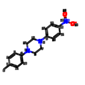 Cc1ccc(N2CCN(c3ccc([N+](=O)[O-])cc3)CC2)cc1